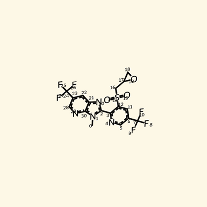 Cn1c(-c2ncc(C(F)(F)F)cc2S(=O)(=O)CC2CO2)nc2cc(C(F)(F)F)cnc21